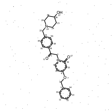 O=C(Cn1ccc(OCc2ccccc2)cc1=O)c1ccc(CN2CCC(O)CC2)cc1